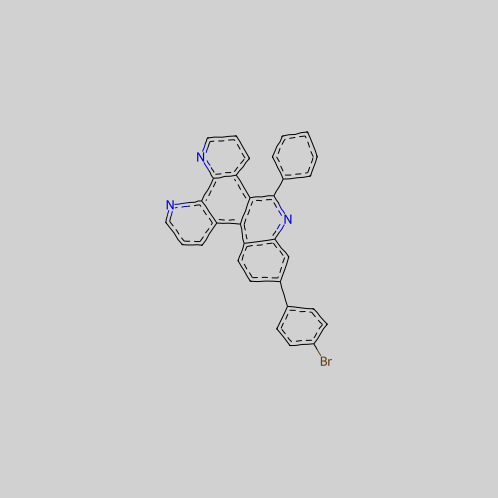 Brc1ccc(-c2ccc3c(c2)nc(-c2ccccc2)c2c4cccnc4c4ncccc4c32)cc1